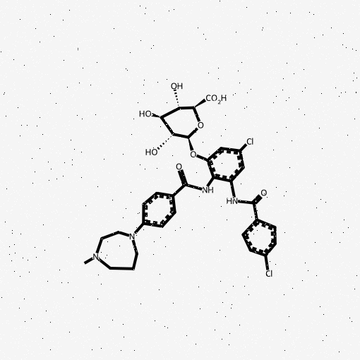 CN1CCCN(c2ccc(C(=O)Nc3c(NC(=O)c4ccc(Cl)cc4)cc(Cl)cc3O[C@@H]3O[C@H](C(=O)O)[C@@H](O)[C@H](O)[C@H]3O)cc2)CC1